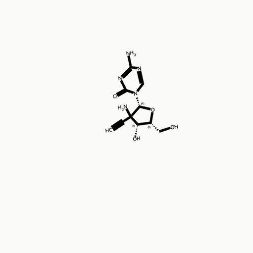 C#CC1(N)[C@@H](O)[C@@H](CO)O[C@H]1n1cnc(N)nc1=O